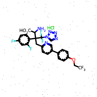 Cl.NC(C(=O)O)C(Cc1ccc(-c2ccc(OCC(F)(F)F)cc2)cn1)(c1ccc(F)cc1F)C(F)(F)n1cnnn1